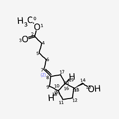 COC(=O)CCC/C=C1/C[C@@H]2CC[C@H](CO)[C@H]2C1